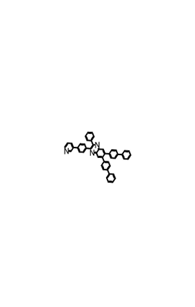 c1ccc(-c2ccc(-c3cc4nc(-c5ccccc5)c(-c5ccc(-c6cccnc6)cc5)nc4cc3-c3ccc(-c4ccccc4)cc3)cc2)cc1